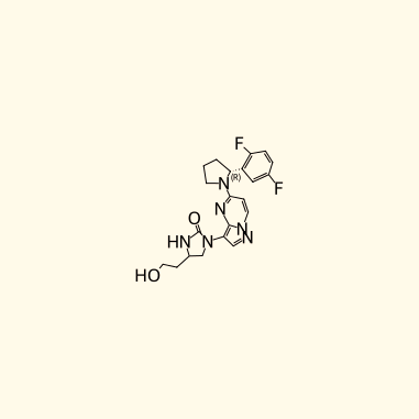 O=C1NC(CCO)CN1c1cnn2ccc(N3CCC[C@@H]3c3cc(F)ccc3F)nc12